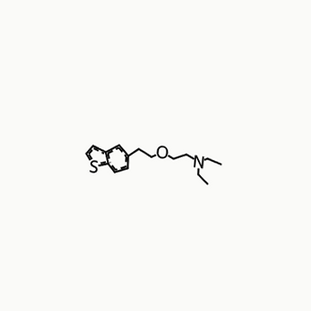 CCN(CC)CCOCCc1ccc2sccc2c1